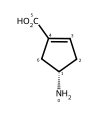 N[C@H]1CC=C(C(=O)O)C1